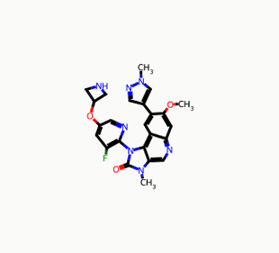 COc1cc2ncc3c(c2cc1-c1cnn(C)c1)n(-c1ncc(OC2CNC2)cc1F)c(=O)n3C